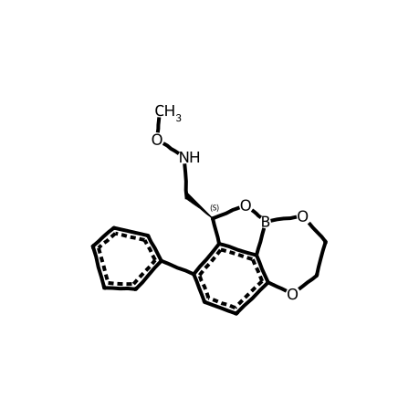 CONC[C@H]1OB2OCCOc3ccc(-c4ccccc4)c1c32